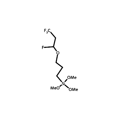 CO[Si](CCCOC(F)CC(F)(F)F)(OC)OC